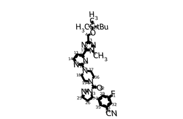 Cn1nc(CO[Si](C)(C)C(C)(C)C)nc1-c1ccnc(N2CCN(C(=O)N3N=CC[C@H]3c3cc(F)cc(C#N)c3)CC2)n1